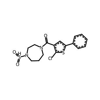 O=C(c1cc(-c2ccccc2)sc1Cl)N1CCCN([SH](=O)=O)CC1